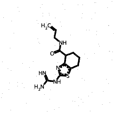 C=CCNC(=O)C1CCCc2sc(NC(=N)N)nc21